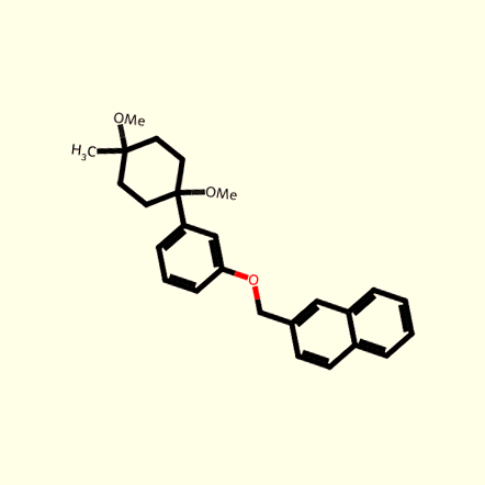 COC1(C)CCC(OC)(c2cccc(OCc3ccc4ccccc4c3)c2)CC1